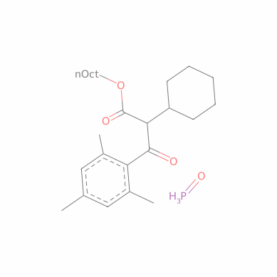 CCCCCCCCOC(=O)C(C(=O)c1c(C)cc(C)cc1C)C1CCCCC1.O=[PH3]